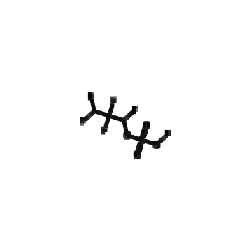 O=S(=O)(OF)OC(F)C(F)(F)C(F)F